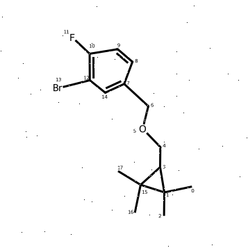 CC1(C)C(COCc2ccc(F)c(Br)c2)C1(C)C